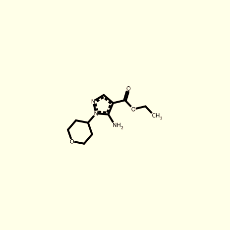 CCOC(=O)c1cnn(C2CCOCC2)c1N